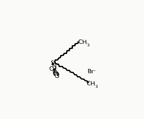 CCCCCCCCCCCCCCCCCCc1sc[n+](CC(=O)N2CCOCC2)c1CCCCCCCCCCCCCCCCCC.[Br-]